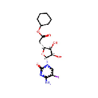 Nc1nc(=O)n([C@@H]2O[C@H](CC(=O)OC3CCCCC3)[C@@H](O)[C@H]2O)cc1I